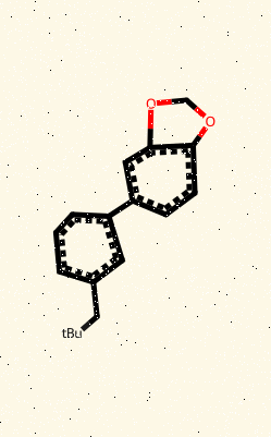 CC(C)(C)Cc1cccc(-c2ccc3c(c2)OCO3)c1